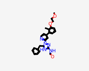 COCCOc1cccc(-c2ccnc(N3N=C(NC=O)NC3Cc3ccccc3)c2)c1C